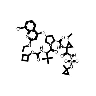 CCOc1cc(O[C@@H]2C[C@@H](C(=O)N[C@]3(C(=O)NS(=O)(=O)OC4(C)CC4)C[C@H]3CC)N(C(=O)[C@@H](NC(=O)OC3CCC3)C(C)(C)C)C2)c2cccc(Cl)c2n1